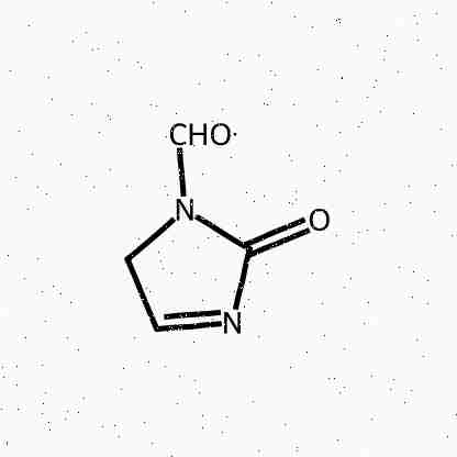 O=[C]N1CC=NC1=O